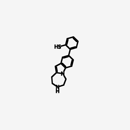 Sc1ccccc1-c1ccc2c(c1)cc1n2CCNCC1